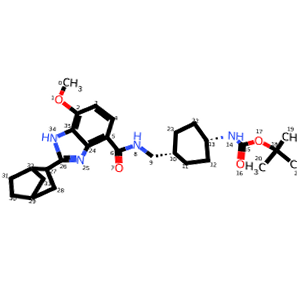 COc1ccc(C(=O)NC[C@H]2CC[C@@H](NC(=O)OC(C)(C)C)CC2)c2nc(C3CC4CCC3C4)[nH]c12